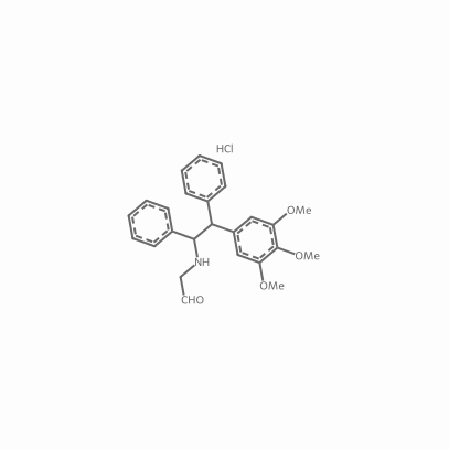 COc1cc(C(c2ccccc2)C(NCC=O)c2ccccc2)cc(OC)c1OC.Cl